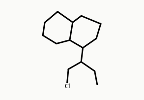 CCC(CCl)C1CCCC2CCCCC21